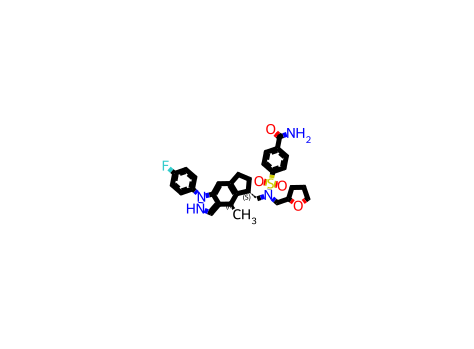 C[C@H]1C2=CNN(c3ccc(F)cc3)C2=CC2=C1[C@@H](CN(CC1CCCO1)S(=O)(=O)c1ccc(C(N)=O)cc1)CC2